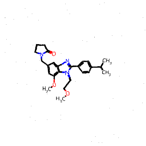 COCCn1c(-c2ccc(C(C)C)cc2)nc2cc(CN3CCCC3=O)cc(OC)c21